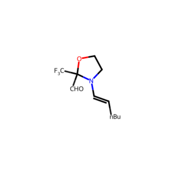 CCCCC=CN1CCOC1(C=O)C(F)(F)F